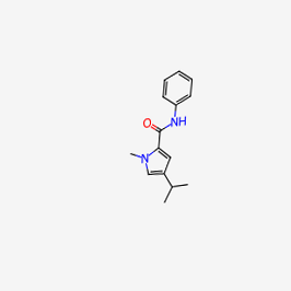 CC(C)c1cc(C(=O)Nc2ccccc2)n(C)c1